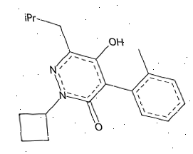 Cc1ccccc1-c1c(O)c(CC(C)C)nn(C2CCC2)c1=O